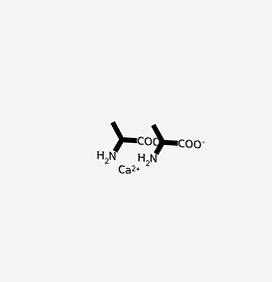 CC(N)C(=O)[O-].CC(N)C(=O)[O-].[Ca+2]